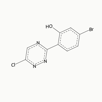 Oc1cc(Br)ccc1-c1ncc(Cl)nn1